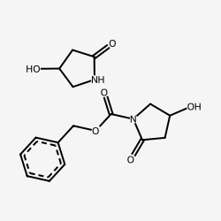 O=C1CC(O)CN1.O=C1CC(O)CN1C(=O)OCc1ccccc1